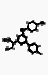 Cc1ccc(-c2cc(NC3CCC(C(C)(C)C)CC3)cc(C(CC(C)C)C(=O)O)c2)cc1